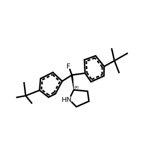 CC(C)(C)c1ccc(C(F)(c2ccc(C(C)(C)C)cc2)[C@H]2CCCN2)cc1